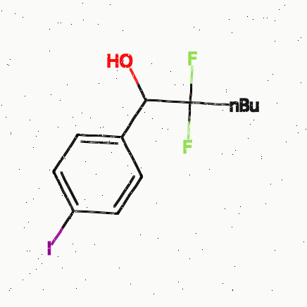 CCCCC(F)(F)C(O)c1ccc(I)cc1